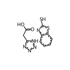 O=C(O)Cc1nnn[nH]1.Sc1nc2ccccc2s1